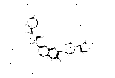 C[C@]1(N2CCN(c3cc4cc(NC(=O)[C@H]5C[C@]56CCCOC6)ncc4cc3Cl)CC2)COC[C@H]1O